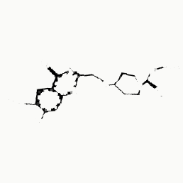 COc1cc2c(=O)[nH]c(CSC3CCN(C(=O)OC(C)(C)C)CC3)nc2cc1Br